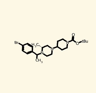 CC(c1ccc(Br)cc1)N1CCN(C2CCN(C(=O)OC(C)(C)C)CC2)C[C@H]1C